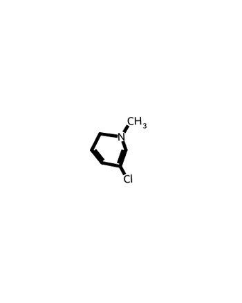 CN1C=C(Cl)C=CC1